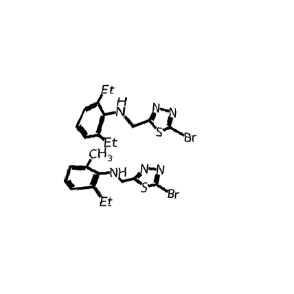 CCc1cccc(C)c1NCc1nnc(Br)s1.CCc1cccc(CC)c1NCc1nnc(Br)s1